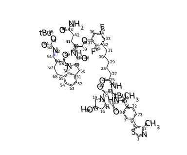 Cc1ncsc1-c1ccc([C@H](C)NC(=O)[C@@H]2C[C@@H](O)CN2C(=O)[C@@H](NC(=O)CCCCCc2cc(F)cc(OC[C@H](CCC(N)=O)NC(=O)[C@@H]3Cc4cccc5c4N3C(=O)C(/C=N/C(=O)OC(C)(C)C)CC5)c2F)C(C)(C)C)cc1